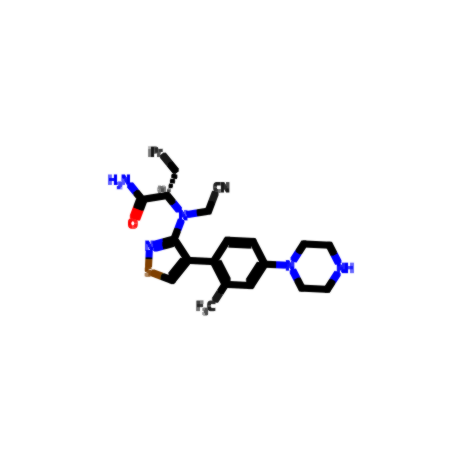 CC(C)C[C@@H](C(N)=O)N(CC#N)c1nscc1-c1ccc(N2CCNCC2)cc1C(F)(F)F